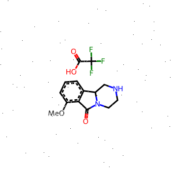 COc1cccc2c1C(=O)N1CCNCC21.O=C(O)C(F)(F)F